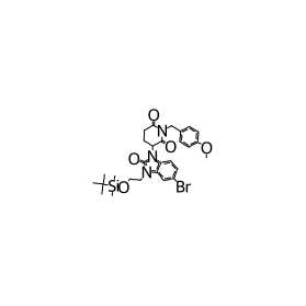 COc1ccc(CN2C(=O)CCC(n3c(=O)n(CCO[Si](C)(C)C(C)(C)C)c4cc(Br)ccc43)C2=O)cc1